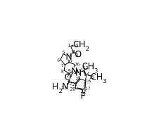 C=CC(=O)N1CCC2CCN(n3c(C)c(C)c4cc(F)cc(C(N)=O)c43)CC21